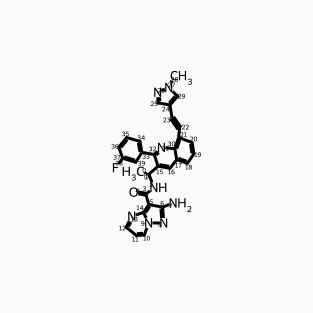 C[C@H](NC(=O)c1c(N)nn2cccnc12)c1cc2cccc(C#Cc3cnn(C)c3)c2nc1-c1cccc(F)c1